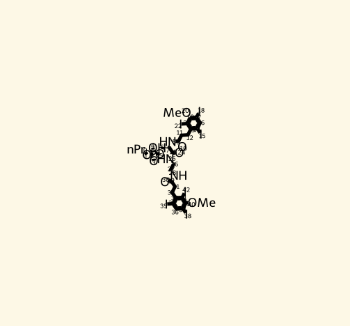 CCCOP(=O)(O)OC[C@H](NC(=O)CCc1c(I)cc(I)c(OC)c1I)C(=O)NCCNC(=O)CCc1c(I)cc(I)c(OC)c1I